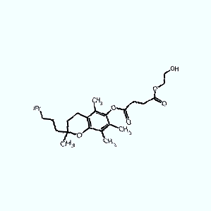 Cc1c(C)c2c(c(C)c1OC(=O)CCC(=O)OCCO)CCC(C)(CCCC(C)C)O2